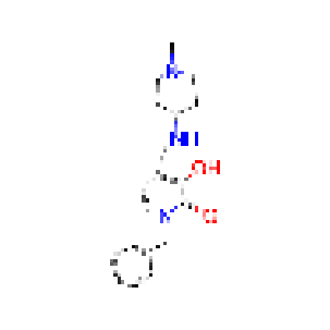 CN1CCC(NCc2ccn(Cc3ccccc3)c(=O)c2O)CC1